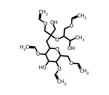 C=COCC(OC(CO)(COC=C)CC1OC(COC=C)C(OC=C)C(O)C1OC=C)C(C)O